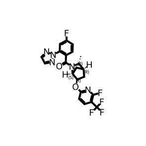 C[C@@H]1[C@H]2C[C@@H](Oc3ccc(C(F)(F)F)c(F)n3)[C@H](C2)N1C(=O)c1ccc(F)cc1-n1nccn1